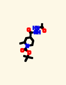 CC(=O)NNC(=O)C1CCN(C(=O)OC(C)(C)C)C(C)C1